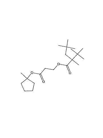 CC(C)(C)CC(C)(C(=O)OCCC(=O)OC1(C)CCCC1)C(C)(C)C